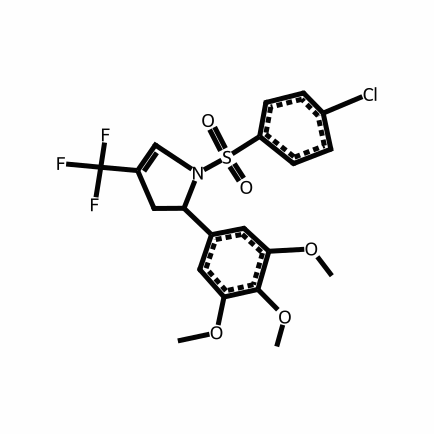 COc1cc(C2CC(C(F)(F)F)=CN2S(=O)(=O)c2ccc(Cl)cc2)cc(OC)c1OC